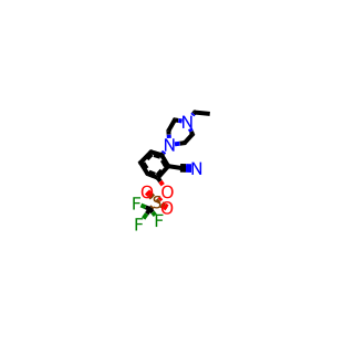 CCN1CCN(c2cccc(OS(=O)(=O)C(F)(F)F)c2C#N)CC1